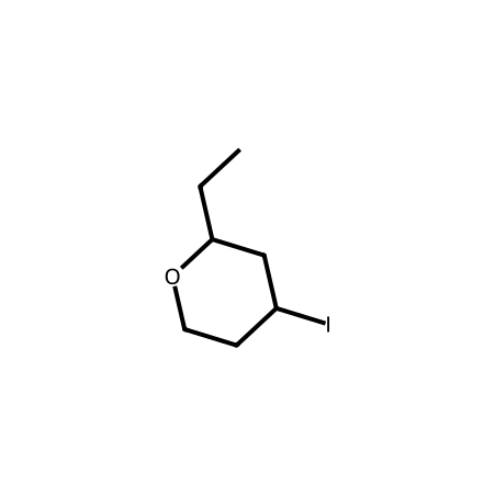 CCC1CC(I)CCO1